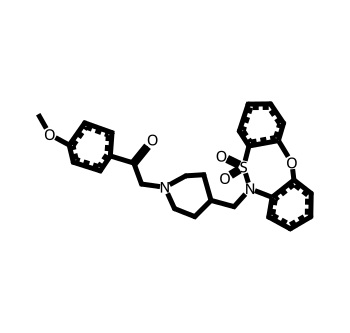 COc1ccc(C(=O)CN2CCC(CN3c4ccccc4Oc4ccccc4S3(=O)=O)CC2)cc1